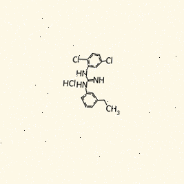 CCc1cccc(NC(=N)Nc2cc(Cl)ccc2Cl)c1.Cl